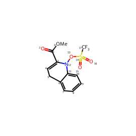 COC(=O)C1=CCc2ccccc2N1OS(=O)(=O)C(F)(F)F